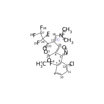 COC(=O)c1c(-c2c(F)cccc2Cl)noc1/C(=C\N(C)C)C(=O)C(F)(F)C(F)F